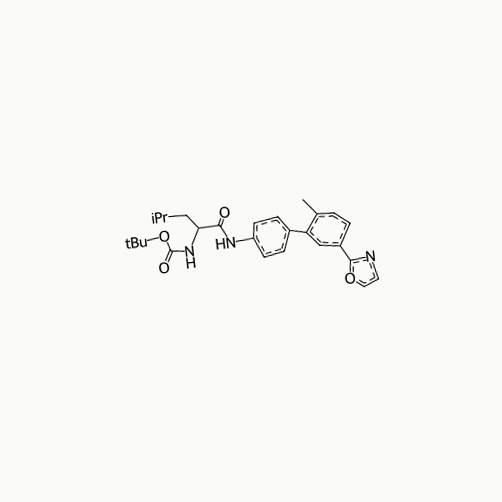 Cc1ccc(-c2ncco2)cc1-c1ccc(NC(=O)C(CC(C)C)NC(=O)OC(C)(C)C)cc1